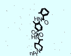 CCCN1CCC(C(C)NS(=O)(=O)c2ccc(NC(=O)c3ccccc3C)c(C)c2)CC1